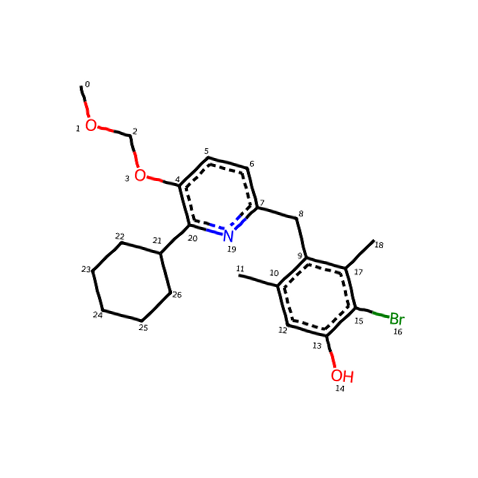 COCOc1ccc(Cc2c(C)cc(O)c(Br)c2C)nc1C1CCCCC1